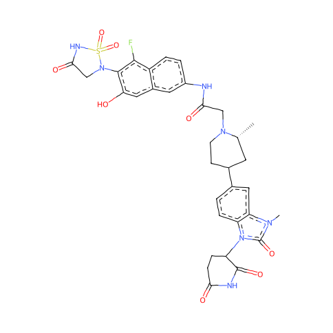 C[C@@H]1CC(c2ccc3c(c2)n(C)c(=O)n3C2CCC(=O)NC2=O)CCN1CC(=O)Nc1ccc2c(F)c(N3CC(=O)NS3(=O)=O)c(O)cc2c1